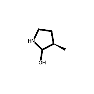 C[C@@H]1CCNC1O